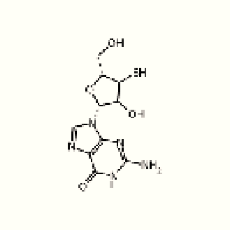 Nc1nc2c(ncn2[C@@H]2O[C@H](CO)C(S)C2O)c(=O)[nH]1